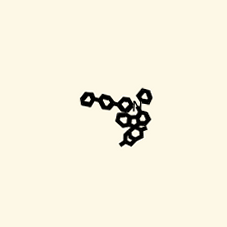 CC1CC2CC(C)C3(C4=C(C=CCC4)c4c(N(c5ccccc5)c5ccc(-c6ccc(-c7ccccc7)cc6)cc5)cccc43)C(C1)C2